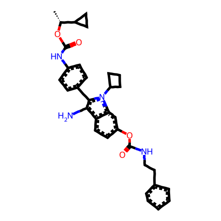 C[C@@H](OC(=O)Nc1ccc(-c2c(N)c3ccc(OC(=O)NCCc4ccccc4)cc3n2C2CCC2)cc1)C1CC1